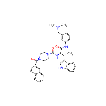 C[C@H](c1c[nH]c2ccccc12)[C@@H](NC(=O)N1CCN(C(=O)c2ccc3ccccc3c2)CC1)C(=O)Nc1cccc(CN(C)C)c1